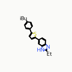 CCc1nc2ccc(-c3ccc(-c4ccc(C(C)CC)cc4)s3)cc2[nH]1